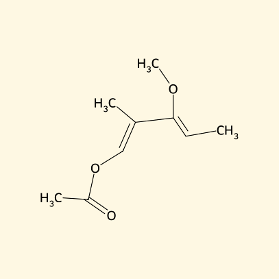 CC=C(OC)C(C)=COC(C)=O